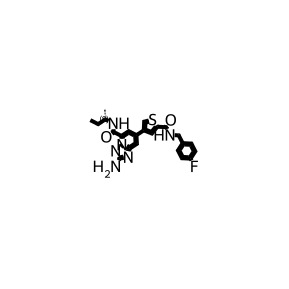 CC[C@H](C)NC(=O)c1cc(-c2csc(C(=O)NCc3ccc(F)cc3)c2)cc2nc(N)nn12